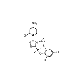 CC(C)(Oc1c(F)cc(Cl)cc1F)c1nnc(-c2ccc(N)cc2Cl)n1C1CC1